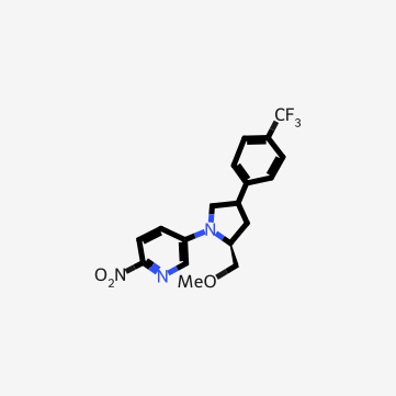 COC[C@@H]1CC(c2ccc(C(F)(F)F)cc2)CN1c1ccc([N+](=O)[O-])nc1